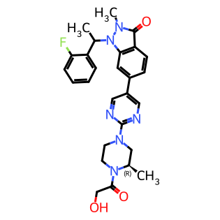 CC(c1ccccc1F)n1c2cc(-c3cnc(N4CCN(C(=O)CO)[C@H](C)C4)nc3)ccc2c(=O)n1C